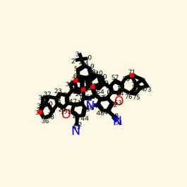 CC(C)(C)c1cc2c3c(c1)CCc1c-3c(c3c4c5c(oc6c7c(cc(-c8ccccc8)c65)C5CC6CC(C5)CC7C6)c(C#N)cc4n4c5cc(C#N)c6oc7c8c(cc(-c9ccccc9)c7c6c5c1c34)C1CC3CC4CC8CC34C1)CC2